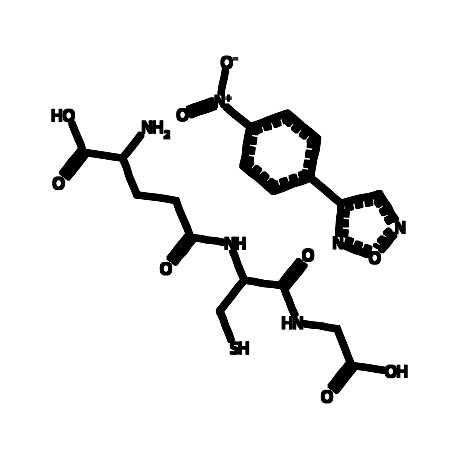 NC(CCC(=O)NC(CS)C(=O)NCC(=O)O)C(=O)O.O=[N+]([O-])c1ccc(-c2cnon2)cc1